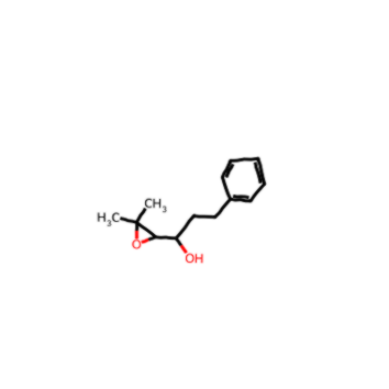 CC1(C)OC1C(O)CCc1ccccc1